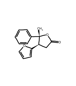 C[C@@]1(c2ccccc2)OC(=O)C[C@H]1c1ccco1